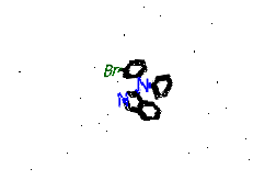 Brc1cccc(N(c2ccccc2)c2cncc3ccccc23)c1